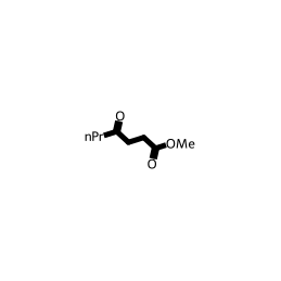 CCCC(=O)CCC(=O)OC